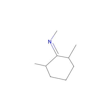 CN=C1C(C)CCCC1C